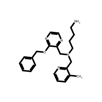 Cc1cccnc1CN(CCCCN)Cc1nccnc1OCc1ccccc1